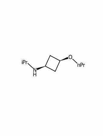 CCCO[C@H]1C[C@@H](NC(C)C)C1